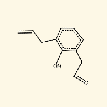 C=CCc1cccc(CC=O)c1O